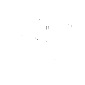 Cc1c2n(ccc1=O)N(C1c3ccccc3CSc3ccccc31)CN(CC(C)(C)O)C2=O